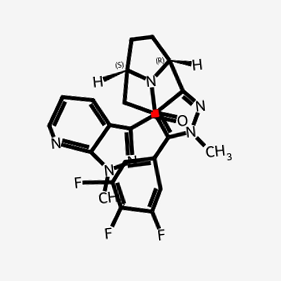 Cn1nc2c(c1-c1cc(F)c(F)c(F)c1)C[C@@H]1CC[C@H]2N1C(=O)c1nn(C)c2ncccc12